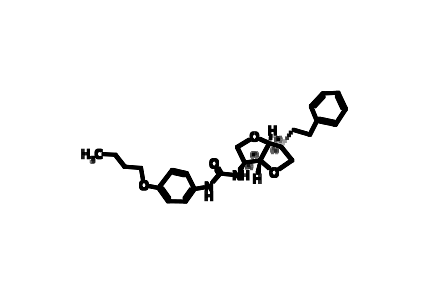 CCCCOc1ccc(NC(=O)N[C@H]2CO[C@H]3[C@H](CCc4ccccc4)CO[C@@H]32)cc1